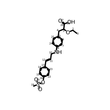 CCOC(Cc1ccc(NCC=Cc2ccc(OS(C)(=O)=O)cc2)cc1)C(=O)O